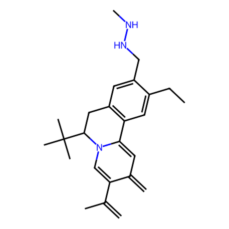 C=C(C)C1=CN2C(=CC1=C)c1cc(CC)c(CNNC)cc1CC2C(C)(C)C